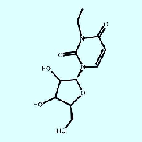 CCn1c(=O)ccn([C@H]2O[C@@H](CO)C(O)C2O)c1=O